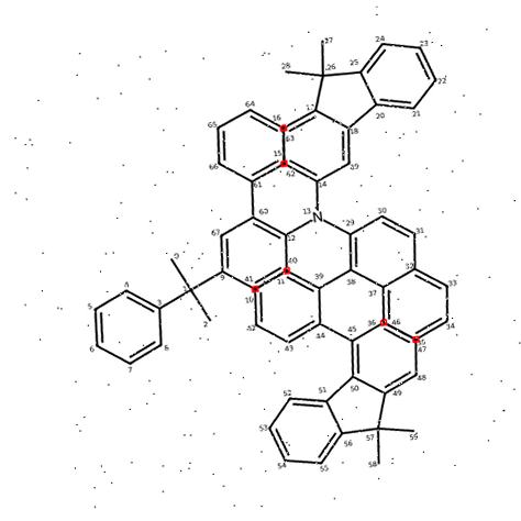 CC(C)(c1ccccc1)c1ccc(N(c2ccc3c(c2)-c2ccccc2C3(C)C)c2ccc3ccccc3c2-c2ccccc2-c2cccc3c2-c2ccccc2C3(C)C)c(-c2ccccc2)c1